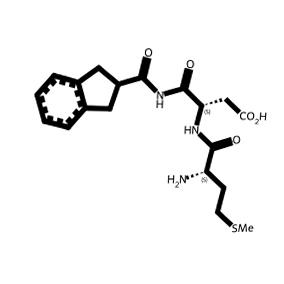 CSCC[C@H](N)C(=O)N[C@@H](CC(=O)O)C(=O)NC(=O)C1Cc2ccccc2C1